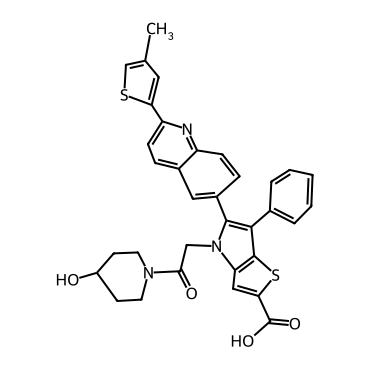 Cc1csc(-c2ccc3cc(-c4c(-c5ccccc5)c5sc(C(=O)O)cc5n4CC(=O)N4CCC(O)CC4)ccc3n2)c1